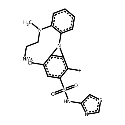 CNCCN(C)c1ccccc1N1c2c(Cl)cc(S(=O)(=O)Nc3cscn3)c(F)c21